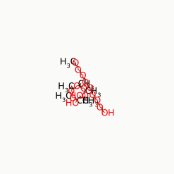 CC(O)COC(C)COC(C)COC(C)COC(C)COC(C)CO.COCCOCCOCCOCCOCCOCCOCCOCCO